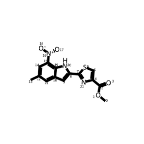 COC(=O)c1csc(-c2cc3cc(C)cc([N+](=O)[O-])c3[nH]2)n1